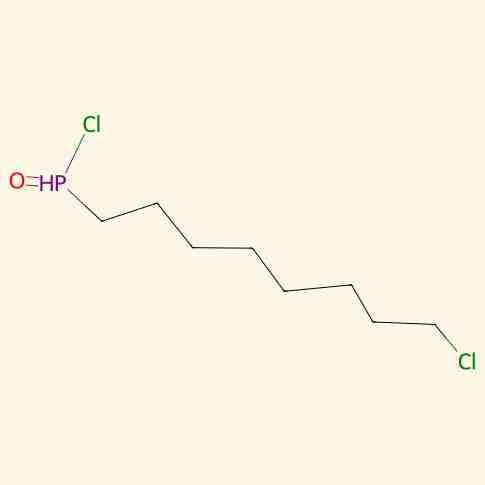 O=[PH](Cl)CCCCCCCCCl